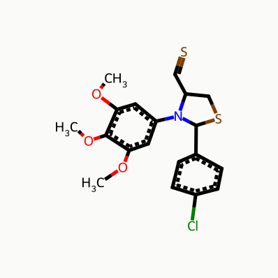 COc1cc(N2C(C=S)CSC2c2ccc(Cl)cc2)cc(OC)c1OC